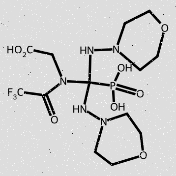 O=C(O)CN(C(=O)C(F)(F)F)C(NN1CCOCC1)(NN1CCOCC1)P(=O)(O)O